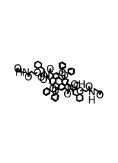 O=C(CCOC(=O)C(CC1CCCCC1)N1C(=O)c2cc(Oc3ccccc3)c3c4c(Oc5ccccc5)cc5c6c(cc(Oc7ccccc7)c(c7c(Oc8ccccc8)cc(c2c37)C1=O)c64)C(O)N(C(CC1CCCCC1)C(=O)OCCC(=O)NCC1CO1)C5=O)NCC1CO1